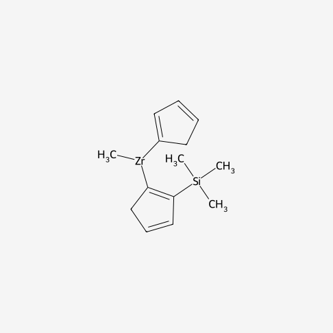 [CH3][Zr]([C]1=CC=CC1)[C]1=C([Si](C)(C)C)C=CC1